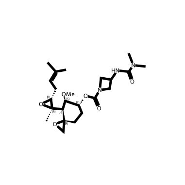 CO[C@@H]1[C@H](OC(=O)N2CC(NC(=O)N(C)C)C2)CC[C@]2(CO2)[C@H]1[C@@]1(C)O[C@@H]1CC=C(C)C